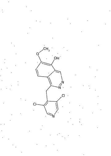 COc1ccc2c(Cc3c(Cl)cncc3Cl)nncc2c1O